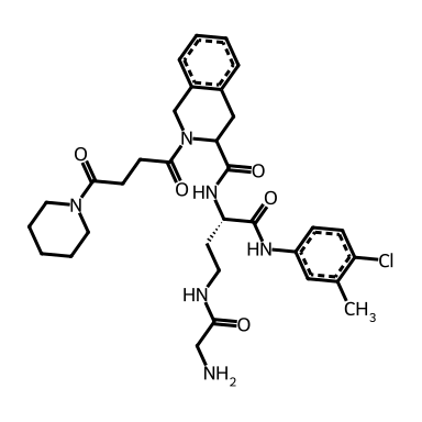 Cc1cc(NC(=O)[C@H](CCNC(=O)CN)NC(=O)C2Cc3ccccc3CN2C(=O)CCC(=O)N2CCCCC2)ccc1Cl